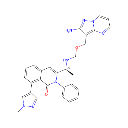 C[C@H](NCOCc1c(N)nn2cccnc12)c1cc2cccc(-c3cnn(C)c3)c2c(=O)n1-c1ccccc1